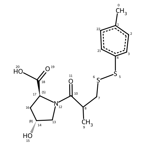 Cc1ccc(SSCC(C)C(=O)N2C[C@H](O)C[C@H]2C(=O)O)cc1